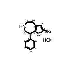 Brc1cc2c(s1)C(c1ccccc1)CNCC2.Cl